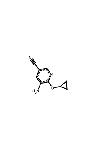 N#Cc1cnc(OC2CC2)c(N)c1